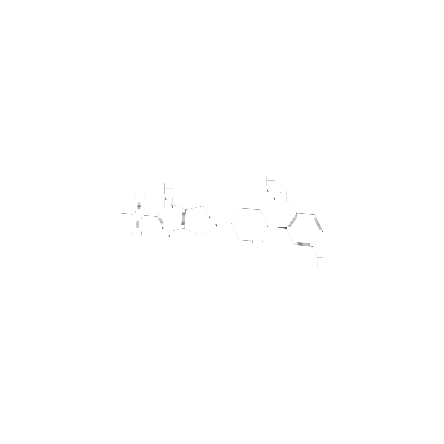 CS(=O)(=O)c1nc2c([nH]1)CN([C@H]1CO[C@H](c3cc(F)ccc3F)[C@@H](N)C1)C2